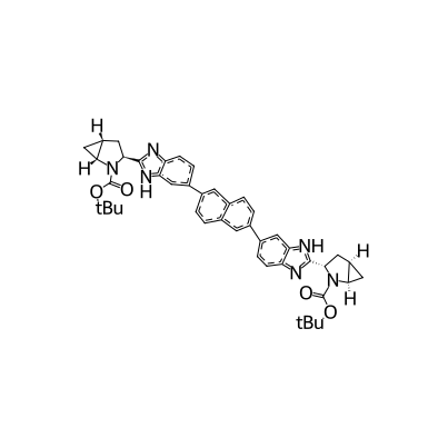 CC(C)(C)OC(=O)N1[C@@H]2C[C@@H]2C[C@H]1c1nc2ccc(-c3ccc4cc(-c5ccc6nc([C@@H]7C[C@H]8C[C@H]8N7C(=O)OC(C)(C)C)[nH]c6c5)ccc4c3)cc2[nH]1